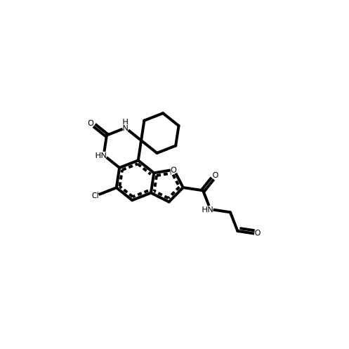 O=CCNC(=O)c1cc2cc(Cl)c3c(c2o1)C1(CCCCC1)NC(=O)N3